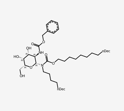 CCCCCCCCCCCCCCCCCCOC(=O)N(CCCCCCCCCCCCCC)[C@@H]1O[C@H](CO)[C@H](O)[C@H](O)[C@H]1NC(=O)OCc1ccccc1